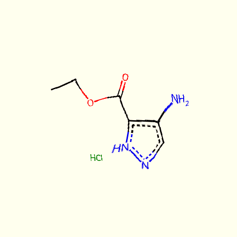 CCOC(=O)c1[nH]ncc1N.Cl